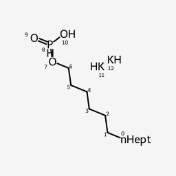 CCCCCCCCCCCCCO[PH](=O)O.[KH].[KH]